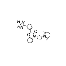 C[C@@H]1CCC[C@H](C)N1C1CCC(N2C(=O)C(c3cccc(C(=N)N)c3)Oc3ccccc32)C1